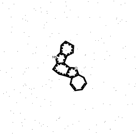 C1=CCc2oc3c(ccc4[nH]c5ccccc5c43)c2C=C1